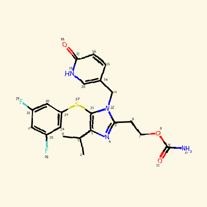 CC(C)c1nc(CCOC(N)=O)n(Cc2ccc(=O)[nH]c2)c1Sc1cc(F)cc(F)c1